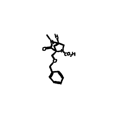 CN1C(=O)[C@]2(COCc3ccccc3)C[C@H]1CN2C(=O)O